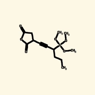 CCCC(C#CC1CC(=O)OC1=O)[Si](OC)(OC)OC